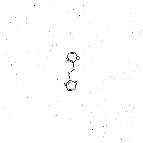 C1=CSC(SCc2ncco2)=[N+]1